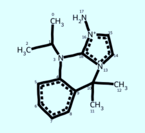 CC(C)N1c2ccccc2C(C)(C)n2cc[n+](N)c21